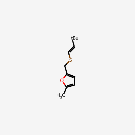 Cc1ccc(CS/C=C/C(C)(C)C)o1